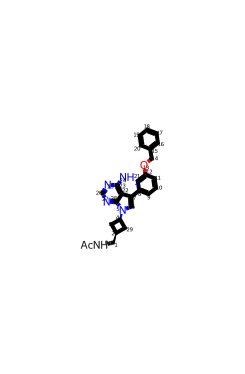 CC(=O)NC[C@H]1C[C@@H](n2cc(-c3cccc(OCc4ccccc4)c3)c3c(N)ncnc32)C1